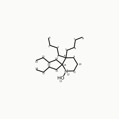 CCCCC1(CCCC)CCCN(O)C1(CCCC)CCCC